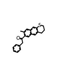 Cc1cc2cc3c(cc2cc1C(=O)Cc1ccccc1)CCCS3